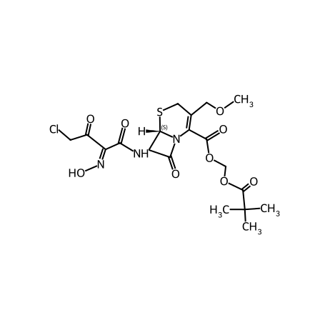 COCC1=C(C(=O)OCOC(=O)C(C)(C)C)N2C(=O)C(NC(=O)C(=NO)C(=O)CCl)[C@@H]2SC1